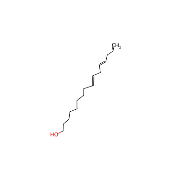 C=CC/C=C/C/C=C/CCCCCCCCO